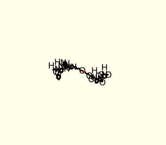 C=CC(=O)Nc1cc(-c2nn(C3CCN(CCCCOCCCCOCC(=O)Nc4cccc5c4C(=O)N(C4CCC(=O)NC4=O)C5=O)CC3)c3ncnc(N)c23)ccc1Oc1ccccc1